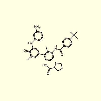 Cc1c(NC(=O)c2ccc(C(C)(C)C)cc2)cccc1-c1cc(Nc2cccc(N)c2)c(=O)n(C)c1.O=C(O)C1CCCO1